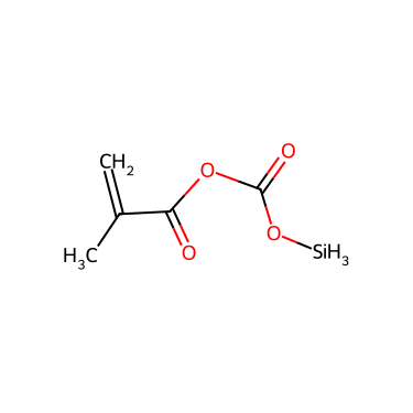 C=C(C)C(=O)OC(=O)O[SiH3]